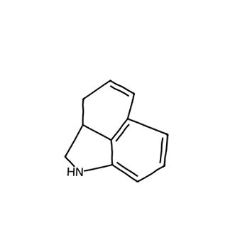 C1=Cc2cccc3c2C(C1)CN3